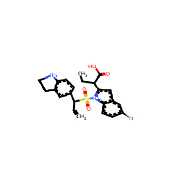 C=CC(c1ccc2c(c1)CCN2)S(=O)(=O)n1c(C(CC)C(=O)O)cc2cc(Cl)ccc21